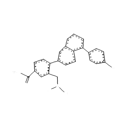 COC(=O)c1ccc(-c2ccc3c(-c4ccc(C(C)(C)C)cc4)cccc3c2)c(CN(C)C)c1